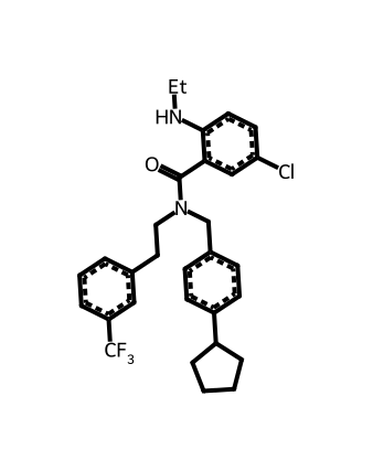 CCNc1ccc(Cl)cc1C(=O)N(CCc1cccc(C(F)(F)F)c1)Cc1ccc(C2CCCC2)cc1